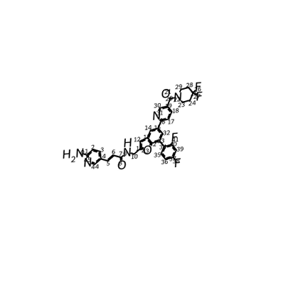 Nc1ccc(/C=C/C(=O)NCc2cc3cc(-c4ccc(C(=O)N5CCC(F)(F)CC5)cn4)cc(-c4ccc(F)cc4F)c3o2)cn1